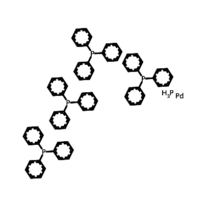 P.[Pd].c1ccc(P(c2ccccc2)c2ccccc2)cc1.c1ccc(P(c2ccccc2)c2ccccc2)cc1.c1ccc(P(c2ccccc2)c2ccccc2)cc1.c1ccc(P(c2ccccc2)c2ccccc2)cc1